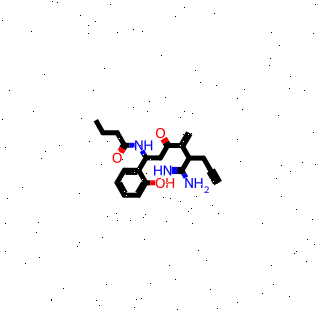 C#CCC(C(=C)C(=O)CC(NC(=O)CCC)c1ccccc1O)C(=N)N